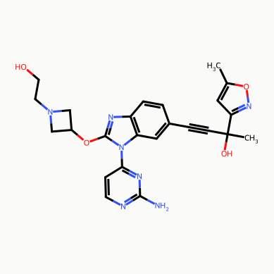 Cc1cc(C(C)(O)C#Cc2ccc3nc(OC4CN(CCO)C4)n(-c4ccnc(N)n4)c3c2)no1